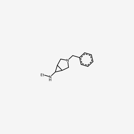 CCNC1C2CN(Cc3ccccc3)CC21